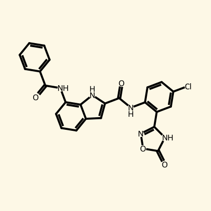 O=C(Nc1cccc2cc(C(=O)Nc3ccc(Cl)cc3-c3noc(=O)[nH]3)[nH]c12)c1ccccc1